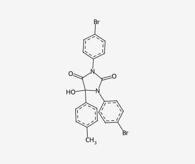 Cc1ccc(C2(O)C(=O)N(c3ccc(Br)cc3)C(=O)N2c2ccc(Br)cc2)cc1